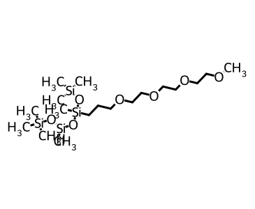 COCCOCCOCCOCCC[Si](C)(O[SiH](C)O[Si](C)(C)C)O[Si](C)(C)C